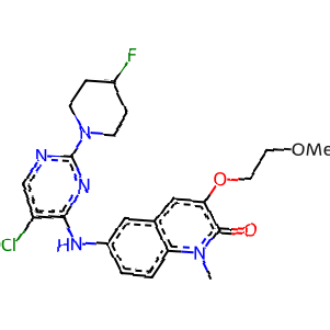 COCCOc1cc2cc(Nc3nc(N4CCC(F)CC4)ncc3Cl)ccc2n(C)c1=O